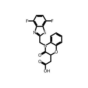 O=C(O)CC1Oc2ccccc2N(Cc2nc3c(F)ccc(F)c3s2)C1=O